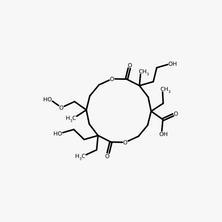 CCC1(C(=O)O)CCOC(=O)C(CC)(CCO)CC(C)(COO)CCOC(=O)C(C)(CCO)C1